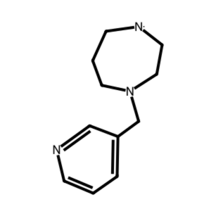 c1cncc(CN2CCC[N]CC2)c1